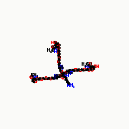 CC(=O)N[C@@H]1CCCO[C@H]1OCCOCCOCCOCCn1cc(COCC(COCc2cn(CCOCCOCCOCCO[C@@H]3OC[C@H](O)C[C@H]3NC(C)=O)nn2)(COCc2cn(CCOCCOCCOCCO[C@@H]3OC[C@H](O)C[C@H]3NC(C)=O)nn2)NC(=O)CCCCCN)nn1